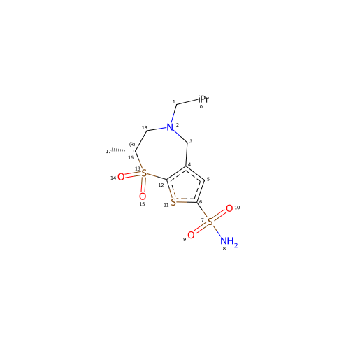 CC(C)CN1Cc2cc(S(N)(=O)=O)sc2S(=O)(=O)[C@H](C)C1